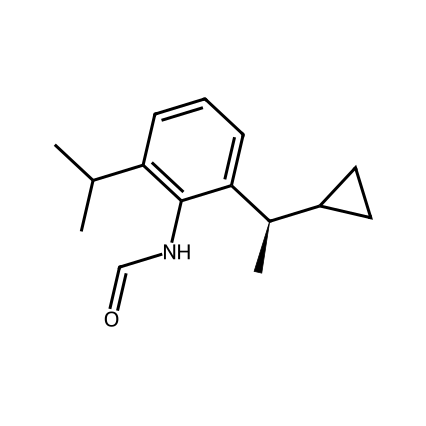 CC(C)c1cccc([C@H](C)C2CC2)c1NC=O